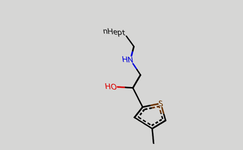 CCCCCCCCNCC(O)c1cc(C)cs1